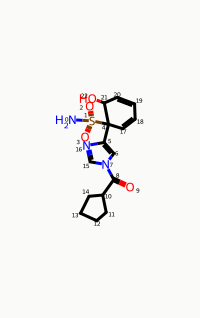 NS(=O)(=O)C1(c2cn(C(=O)C3CCCC3)cn2)C=CC=CC1O